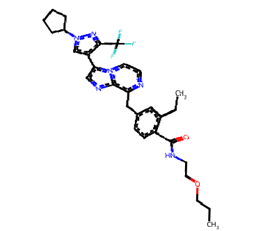 CCCOCCNC(=O)c1ccc(Cc2nccn3c(-c4cn(C5CCCC5)nc4C(F)(F)F)cnc23)cc1CC